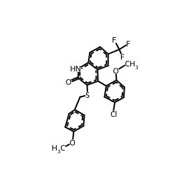 COc1ccc(CSc2c(-c3cc(Cl)ccc3OC)c3cc(C(F)(F)F)ccc3[nH]c2=O)cc1